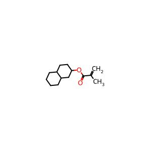 C=C(C)C(=O)OC1CCC2CCCCC2C1